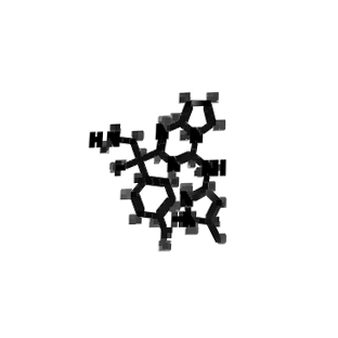 Cc1cc(Nc2nc(C(F)(CN)c3ccc(F)cc3)nc3cccn23)n[nH]1